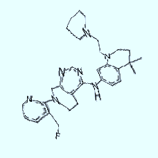 CC1(C)CCN(CCN2CCCCC2)c2cc(Nc3ncnc4c3CCN(c3ncccc3CF)C4)ccc21